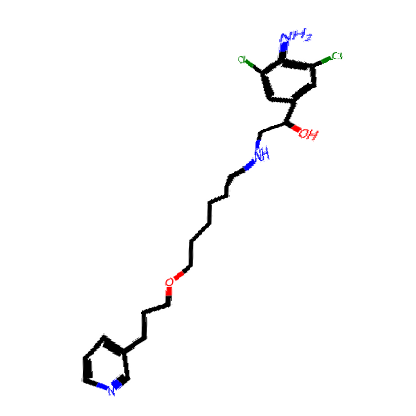 Nc1c(Cl)cc(C(O)CNCCCCCCOCCCc2cccnc2)cc1Cl